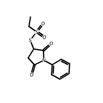 CCS(=O)(=O)SC1CC(=O)N(c2ccccc2)C1=O